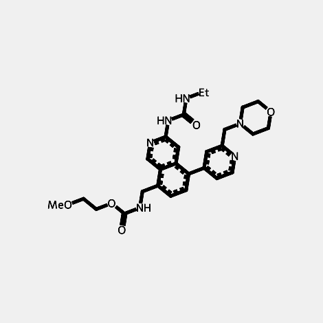 CCNC(=O)Nc1cc2c(-c3ccnc(CN4CCOCC4)c3)ccc(CNC(=O)OCCOC)c2cn1